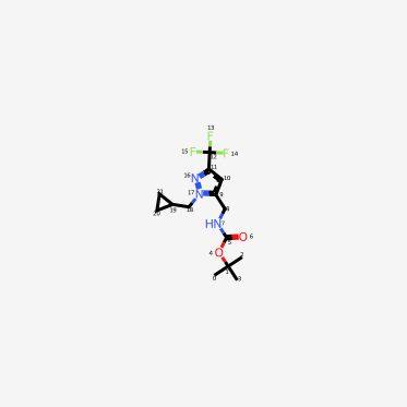 CC(C)(C)OC(=O)NCc1cc(C(F)(F)F)nn1CC1CC1